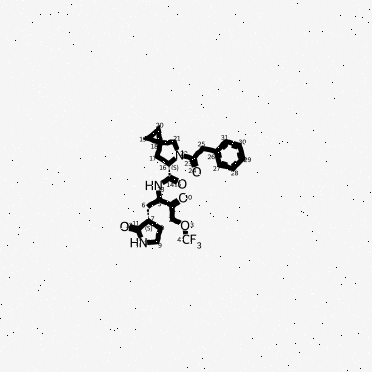 O=C(COC(F)(F)F)C(C[C@@H]1CCNC1=O)NC(=O)[C@@H]1CC2(CC2)CN1C(=O)Cc1ccccc1